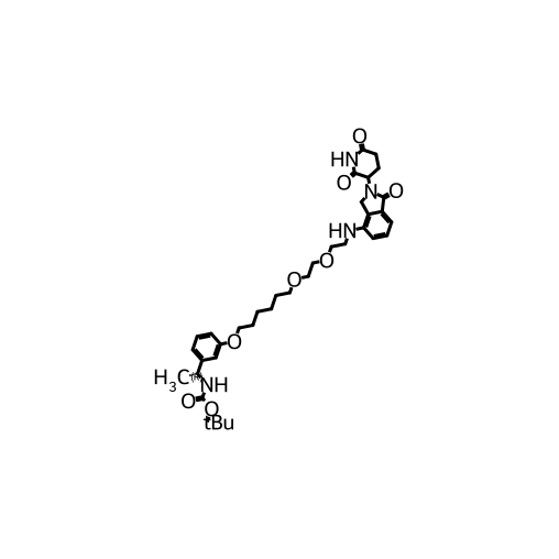 C[C@@H](NC(=O)OC(C)(C)C)c1cccc(OCCCCCCOCCOCCNc2cccc3c2CN(C2CCC(=O)NC2=O)C3=O)c1